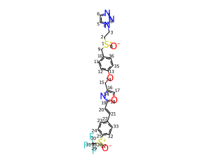 [O-][S+](CCn1ccnn1)Cc1ccc(OCc2coc(/C=C/c3ccc([S+]([O-])C(F)(F)F)cc3)n2)cc1